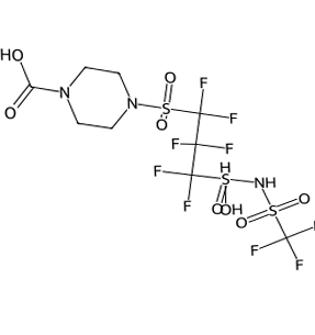 O=C(O)N1CCN(S(=O)(=O)C(F)(F)C(F)(F)C(F)(F)[SH](=O)(O)NS(=O)(=O)C(F)(F)F)CC1